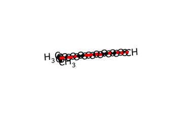 C#CCOCCOCCOCCOCCOCCOCCOCCOCCOCCOCCOCCOCCOCCOCCOCCOCCP(=O)(OCC)OCC